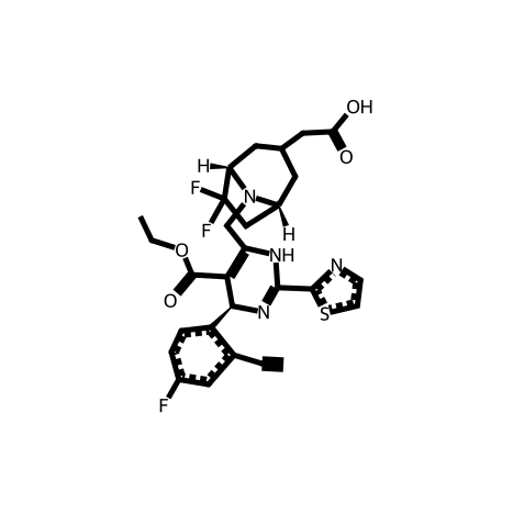 C#Cc1cc(F)ccc1[C@@H]1N=C(c2nccs2)NC(CN2[C@@H]3CC(CC(=O)O)C[C@H]2C(F)(F)C3)=C1C(=O)OCC